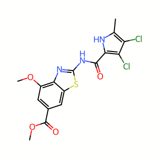 COC(=O)c1cc(OC)c2nc(NC(=O)c3[nH]c(C)c(Cl)c3Cl)sc2c1